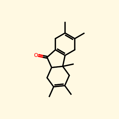 CC1=C(C)CC2=C(C1)C(=O)C1CC(C)=C(C)CC21C